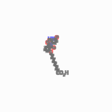 O=C(O)CCCCCCCCCCOc1cccc2c1C(=O)N(C1CCC(=O)NC1=O)C2=O